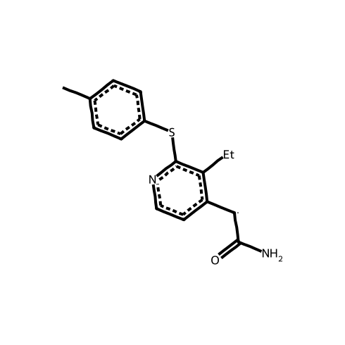 CCc1c([CH]C(N)=O)ccnc1Sc1ccc(C)cc1